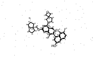 CCc1c(F)ccc2cc(O)cc(-c3ncc4c(N5CCC6(COC6)C5)nc(OC[C@@]56CCCN5C[C@H](C)C6)nc4c3F)c12